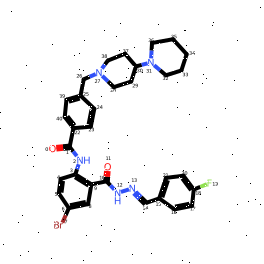 O=C(Nc1ccc(Br)cc1C(=O)N/N=C/c1ccc(F)cc1)c1ccc(CN2CCC(N3CCCCC3)CC2)cc1